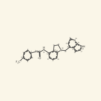 O=C(Nc1ccc(C(F)(F)F)cc1)Nc1cccc2c1CCN2Cc1ccnc2[nH]ccc12